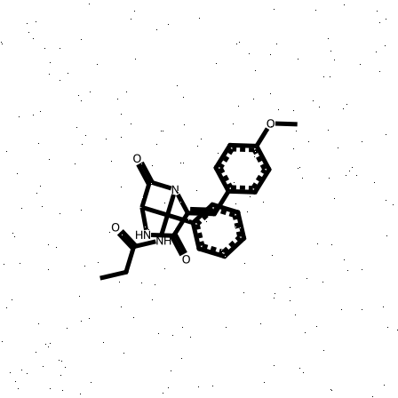 CCC(=O)NC1(c2ccccc2)C2NC(=O)/C(=C/c3ccc(OC)cc3)N1C2=O